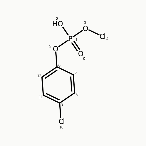 O=P(O)(OCl)Oc1ccc(Cl)cc1